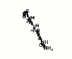 NOCC(=O)NCCOCCOCC(=O)NCCNCCOCC(=O)NCCN1C(=O)C=CC1=O